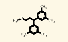 Cc1cc(C)cc(C(CCOP)c2cc(C)cc(C)c2)c1